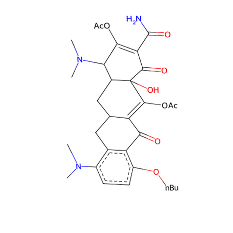 CCCCOc1ccc(N(C)C)c2c1C(=O)C1=C(OC(C)=O)C3(O)C(=O)C(C(N)=O)=C(OC(C)=O)C(N(C)C)C3CC1C2